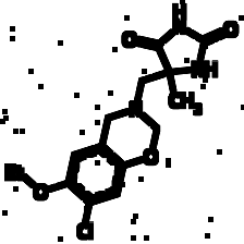 CCOc1cc2c(cc1Cl)OCN(CC1(C)NC(=O)NC1=O)C2